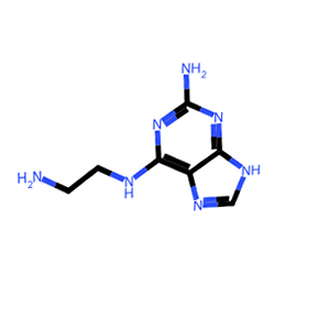 NCCNc1nc(N)nc2[nH]cnc12